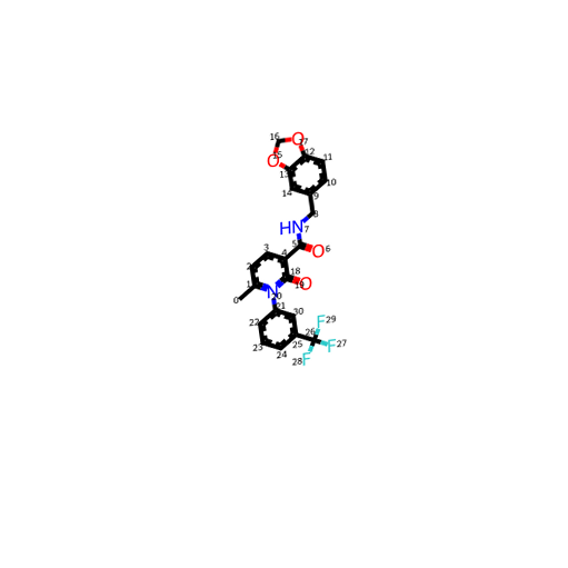 Cc1ccc(C(=O)NCc2ccc3c(c2)OCO3)c(=O)n1-c1cccc(C(F)(F)F)c1